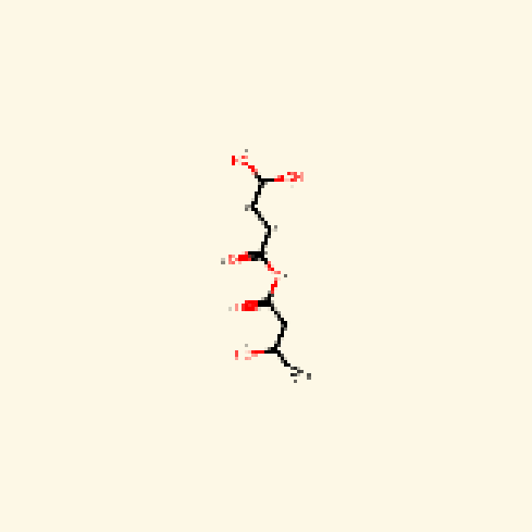 CC(O)CC(=O)OC(=O)CCC(O)O